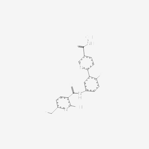 Cc1nc(CF)ccc1C(=O)Nc1ccc(Cl)c(-c2ccc(C(=O)NO)cn2)c1